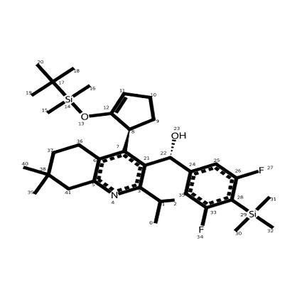 CC(C)c1nc2c(c([C@@H]3CCC=C3O[Si](C)(C)C(C)(C)C)c1[C@H](O)c1cc(F)c([Si](C)(C)C)c(F)c1)CCC(C)(C)C2